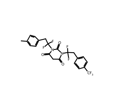 Cc1ccc(CC(F)(F)N2C(=O)CC(=O)N(C(F)(F)Cc3ccc(C(F)(F)F)cc3)C2=O)cc1